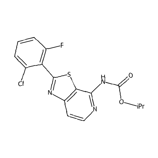 CC(C)OC(=O)Nc1nccc2nc(-c3c(F)cccc3Cl)sc12